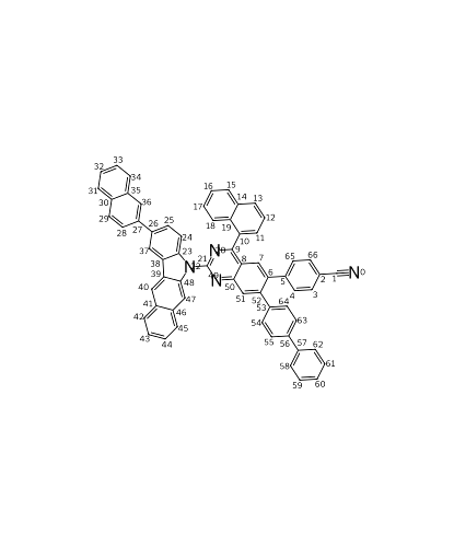 N#Cc1ccc(-c2cc3c(-c4cccc5ccccc45)nc(-n4c5ccc(-c6ccc7ccccc7c6)cc5c5cc6ccccc6cc54)nc3cc2-c2ccc(-c3ccccc3)cc2)cc1